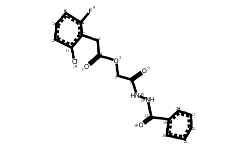 O=C(COC(=O)Cc1c(F)cccc1Cl)NNC(=O)c1ccccc1